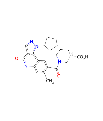 Cc1cc2[nH]c(=O)c3cnn(C4CCCC4)c3c2cc1C(=O)N1CCC[C@H](C(=O)O)C1